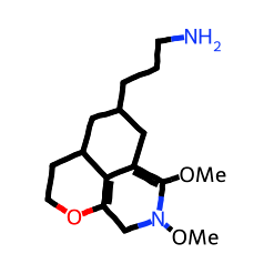 COC1=C2CC(CCCN)CC3CCOC(=C23)CN1OC